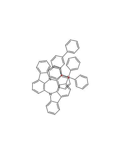 c1ccc(-c2cccc(-c3ccccc3-n3c4ccccc4c4cccc(-n5c6ccccc6c6ccc([Si](c7ccccc7)(c7ccccc7)c7ccccc7)cc65)c43)c2)cc1